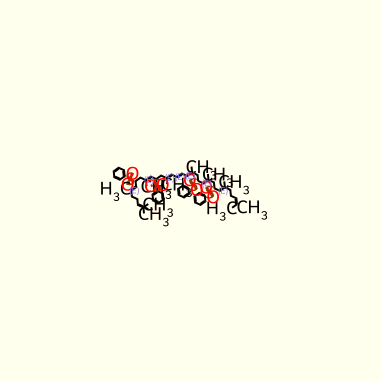 CC(C)=CCC/C(C)=C/C(C/C(C)=C/C(C/C(C)=C/C=C/C=C(\C)CC(/C=C(\C)CC(/C=C(\C)CCC=C(C)C)S(=O)(=O)c1ccccc1)S(=O)(=O)c1ccccc1)S(=O)(=O)c1ccccc1)S(=O)(=O)c1ccccc1